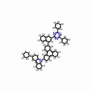 c1ccc(-c2ccc3c(c2)c2ccccc2n3-c2ccc3c4ccccc4c4cc(-c5cc(-c6nc(-c7ccccc7)nc(-c7ccccc7)n6)cc6ccccc56)ccc4c3c2)cc1